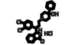 Cl.O=C1NC(C(CCN2CCC(O)(c3ccccc3)CC2)c2ccc(Cl)c(Cl)c2)c2ccccc21